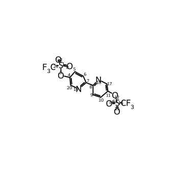 O=S(=O)(Oc1ccc(-c2ccc(OS(=O)(=O)C(F)(F)F)cn2)nc1)C(F)(F)F